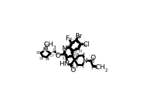 C=CC(=O)N1CCC2(CC1)C(=O)Nc1c(OC[C@@H]3CCCN3C)nc3c(F)c(Br)c(Cl)cc3c12